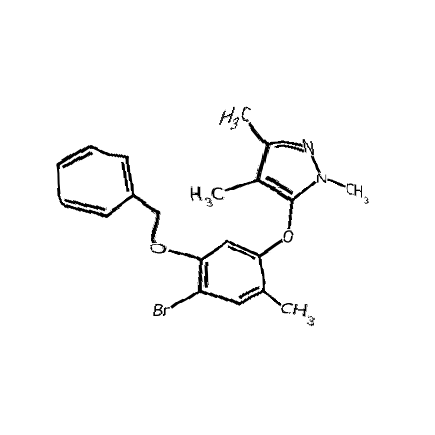 Cc1cc(Br)c(OCc2ccccc2)cc1Oc1c(C)c(C)nn1C